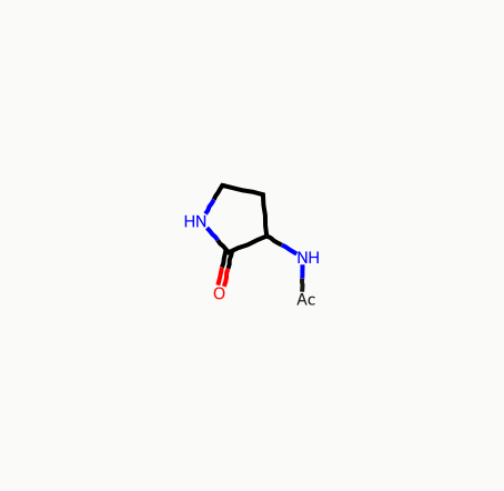 CC(=O)NC1CCNC1=O